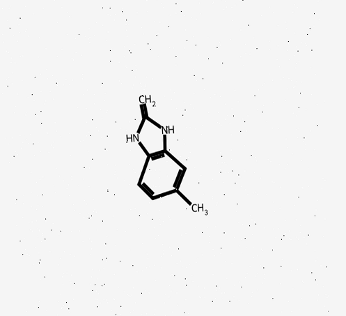 C=C1Nc2ccc(C)cc2N1